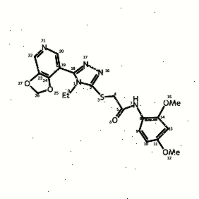 CCn1c(SCC(=O)Nc2ccc(OC)cc2OC)nnc1-c1cncc2c1OCO2